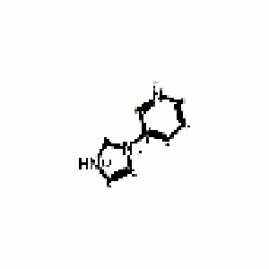 C1=CN(c2cccnc2)CN1